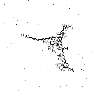 C/C=C/C=C/C=C/C=C/C=C/C=C/C=C/[C@@H](C[C@@H]1O[C@](O)(C[C@@H](O)C[C@@H](O)[C@H](O)CC[C@@H](O)C[C@@H](O)CC(=O)O[C@@H](C)[C@H](C)CO)C[C@H](O)[C@H]1C(=O)NCCCS(N)(=O)=O)O[C@@H]1O[C@H](C)[C@@H](O)[C@H](N)[C@@H]1O